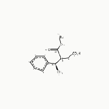 C[C@@H](c1ccccc1)N(CC(=O)O)C(=O)OC(C)(C)C